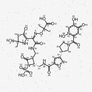 CC1(N)NC(/C(=N/OC(C)(C)C(=O)O)C(=O)NCC2C(=O)N(S(=O)(=O)O)[C@H]2CNC(=O)c2cc([C@@H]3CCN(C(=O)c4cc(=O)c(O)cn4O)C3)no2)=C(Cl)S1